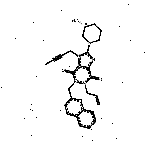 C=CCn1c(=O)c2nc(N3CCC[C@@H](N)C3)n(CC#CC)c2c(=O)n1Cc1ccc2ccccc2n1